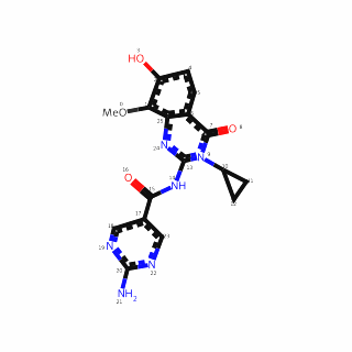 COc1c(O)ccc2c(=O)n(C3CC3)c(NC(=O)c3cnc(N)nc3)nc12